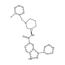 O=C(N[C@@H]1CCCN(Cc2ccccc2F)C1)c1ccc2[nH]nc(-c3ccncc3)c2c1